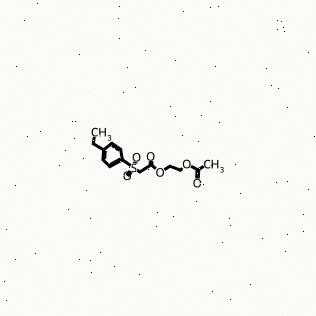 CCc1ccc(S(=O)(=O)CC(=O)OCCOC(C)=O)cc1